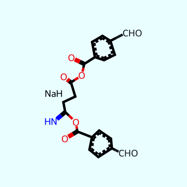 N=C(CCC(=O)OC(=O)c1ccc(C=O)cc1)OC(=O)c1ccc(C=O)cc1.[NaH]